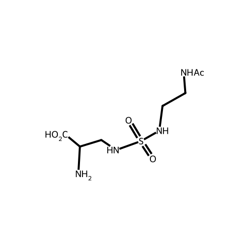 CC(=O)NCCNS(=O)(=O)NCC(N)C(=O)O